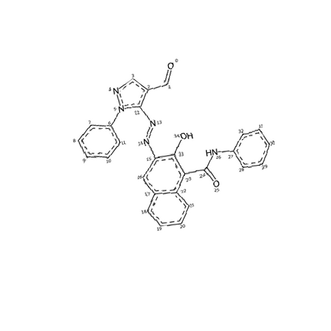 O=Cc1cnn(-c2ccccc2)c1/N=N/c1cc2ccccc2c(C(=O)Nc2ccccc2)c1O